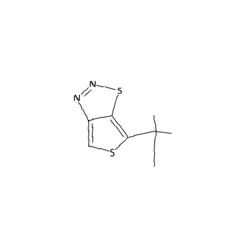 CC(C)(C)c1scc2nnsc12